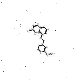 COc1cccc(COc2cccc3ccc(Cl)nc23)c1